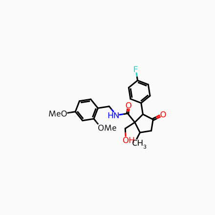 COc1ccc(CNC(=O)C2(CO)C(C)CC(=O)C2c2ccc(F)cc2)c(OC)c1